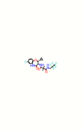 CC(C)(C(=O)NCC(F)(F)C(F)(F)F)C(=O)NC1C(=O)Nc2cc(F)ccc2O[C@H]1C1CC1